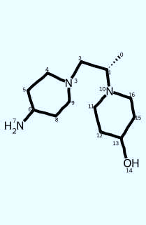 C[C@@H](CN1CCC(N)CC1)N1CCC(O)CC1